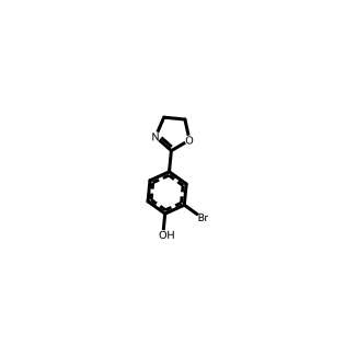 Oc1ccc(C2=NCCO2)cc1Br